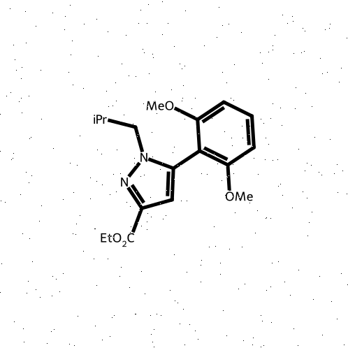 CCOC(=O)c1cc(-c2c(OC)cccc2OC)n(CC(C)C)n1